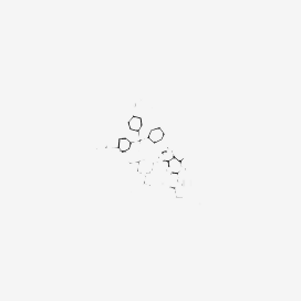 COc1ccc(C(OC[C@@]2(CO)CN(C(C)C)C[C@H](n3cnc4c(=O)[nH]c(NC(=O)C(C)C)nc43)O2)(c2ccccc2)c2ccc(OC)cc2)cc1